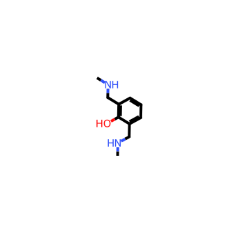 CNCc1cccc(CNC)c1O